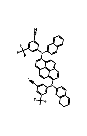 N#Cc1cc(N(c2ccc3c(c2)CCC=C3)c2ccc3ccc4c(N(c5cc(C#N)cc(C(F)(F)F)c5)c5ccc6ccccc6c5)ccc5ccc2c3c54)cc(C(F)(F)F)c1